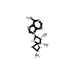 Nc1ncnc2c1ncn2[C@@H]1O[C@]2(C[C@H](N)C2)[C@@H](O)[C@H]1O